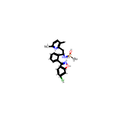 Cc1ccc(C#N)nc1CC(N[S@@+]([O-])C(C)(C)C)c1ccccc1-c1noc2cc(Br)ccc12